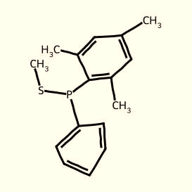 CSP(c1ccccc1)c1c(C)cc(C)cc1C